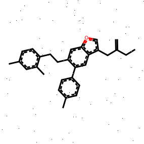 C=C(CC)Cc1coc2cc(CCc3ccc(C)cc3C)c(-c3ccc(C)cc3)cc12